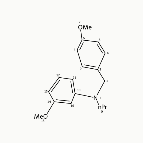 CCCN(Cc1ccc(OC)cc1)c1cccc(OC)c1